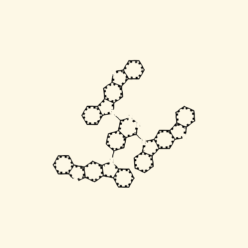 c1ccc2c(c1)sc1cc3c4ccccc4n(-c4ccc5c(-n6c7ccccc7c7cc8sc9ccccc9c8cc76)nnc(-n6c7ccccc7c7cc8sc9ccccc9c8cc76)c5c4)c3cc12